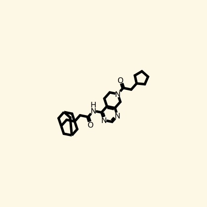 O=C(CC12CC3CC(CC(C3)C1)C2)Nc1ncnc2c1CCN(C(=O)CC1CCCC1)C2